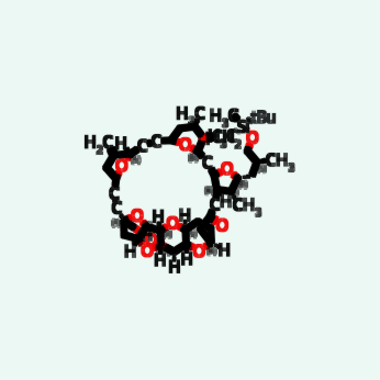 C=C1CC2CC[C@@]34C[C@H]5O[C@H]6[C@@H](O3)[C@H]3O[C@H](CC[C@@H]3O[C@H]6[C@H]5O4)CC(=O)C[C@H]3C(C[C@H]4OC(CC[C@@H]1O2)C[C@@H](C)C4=C)O[C@H](C[C@H](C)CO[Si](C)(C)C(C)(C)C)[C@@H]3C